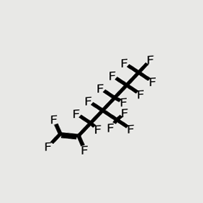 FC(F)=C(F)C(F)(F)C(F)(C(F)(F)F)C(F)(F)C(F)(F)C(F)(F)F